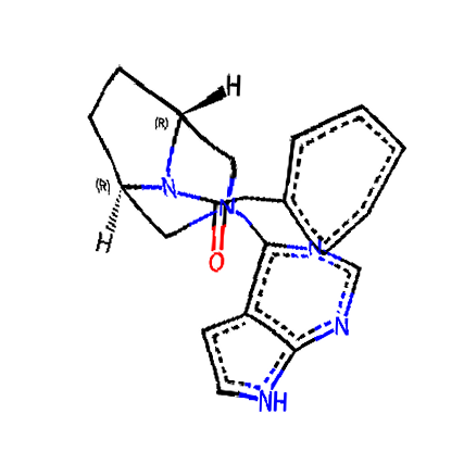 O=C(c1ccccc1)N1[C@@H]2CC[C@@H]1CN(c1ncnc3[nH]ccc13)C2